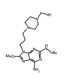 CCCCNc1nc(N)c2nc(OC)n(CCCN3CCN(CC(C)C)CC3)c2n1